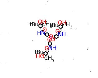 Cc1cc(CC(=O)Nc2ccc(OP(Oc3ccc(NC(=O)Cc4cc(C)c(O)c(C(C)(C)C)c4)cc3)Oc3ccc(NC(=O)Cc4cc(C)c(O)c(C(C)(C)C)c4)cc3)cc2)cc(C(C)(C)C)c1O